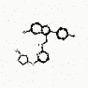 CN1CC[C@H](Oc2ccnc(NCc3c(-c4ccc(F)cc4)nc4ccc(Cl)cn34)n2)C1